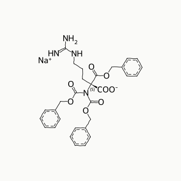 N=C(N)NCCC[C@](C(=O)[O-])(C(=O)OCc1ccccc1)N(C(=O)OCc1ccccc1)C(=O)OCc1ccccc1.[Na+]